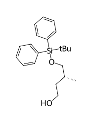 C[C@H](CCO)CO[Si](c1ccccc1)(c1ccccc1)C(C)(C)C